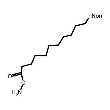 CCCCCCCCCCCCCCCCCCCC(=O)ON